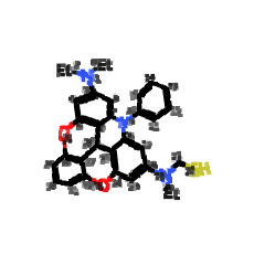 CCN(CC)c1cc2c3c(c1)N(c1ccccc1)c1cc(N(CC)CS)cc4c1C3c1c(cccc1O4)O2